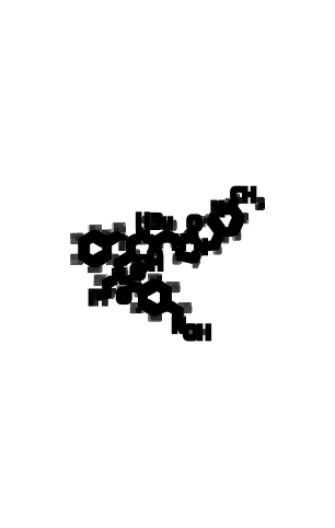 Cc1ccc(CN2CCN([C@H](C(=O)N[C@@H](Cc3ccccc3)[C@@H](O)CN(CC(C)C)S(=O)(=O)c3ccc(C=NO)cc3)C(C)(C)C)C2=O)cn1